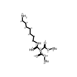 CC(C)(C)OC(=O)N(C(=N)NCCCCCCCN)C(=O)OC(C)(C)C